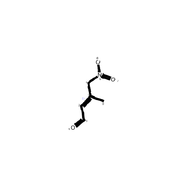 C/C(=C\C=O)C[N+](=O)[O-]